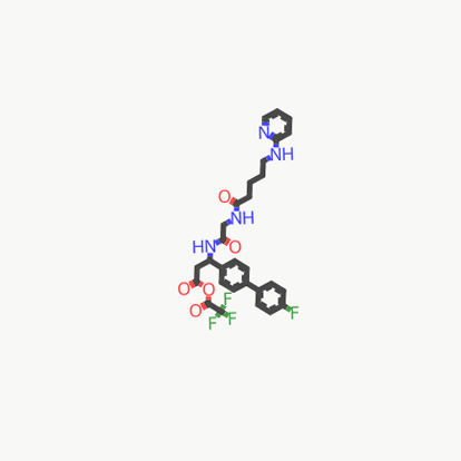 O=C(CCCCNc1ccccn1)NCC(=O)NC(CC(=O)OC(=O)C(F)(F)F)c1ccc(-c2ccc(F)cc2)cc1